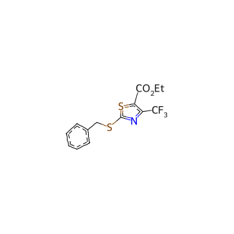 CCOC(=O)c1sc(SCc2ccccc2)nc1C(F)(F)F